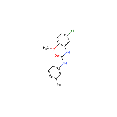 COc1ccc(Cl)cc1NC(=O)Nc1cccc(C)c1